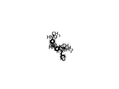 CC(=O)Nc1ccc(S(=O)(=O)Nc2ccc3c(c2)nc(C(C)(C)C)n3CCC2CCOCC2)cc1